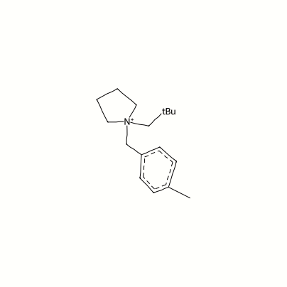 Cc1ccc(C[N+]2(CC(C)(C)C)CCCC2)cc1